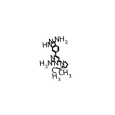 CCC(C)[C@H]1CCCN1c1cc(-c2ccc3c(N)n[nH]c3c2)nc(N)n1